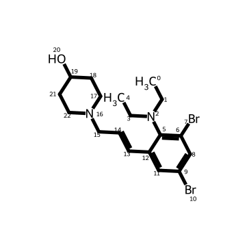 CCN(CC)c1c(Br)cc(Br)cc1/C=C/CN1CCC(O)CC1